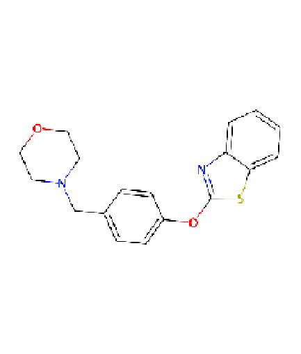 c1ccc2sc(Oc3ccc(CN4CCOCC4)cc3)nc2c1